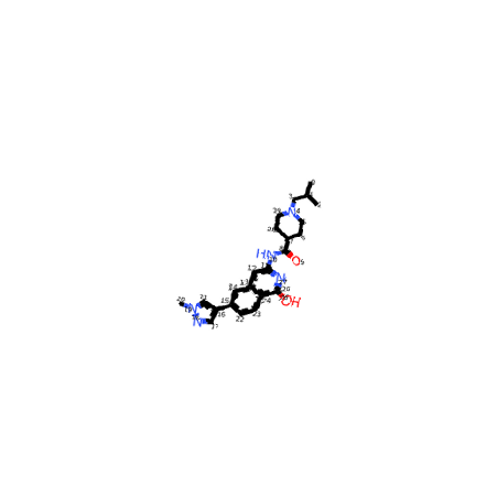 CC(C)CN1CCC(C(=O)Nc2cc3cc(-c4cnn(C)c4)ccc3c(O)n2)CC1